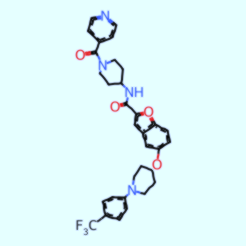 O=C(NC1CCN(C(=O)c2ccncc2)CC1)c1cc2cc(OC3CCN(c4ccc(C(F)(F)F)cc4)CC3)ccc2o1